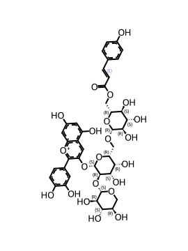 O=C(/C=C/c1ccc(O)cc1)OC[C@H]1O[C@@H](OC[C@H]2O[C@@H](Oc3cc4c(O)cc(O)cc4[o+]c3-c3ccc(O)c(O)c3)[C@H](O[C@@H]3OC[C@@H](O)[C@H](O)[C@H]3O)[C@@H](O)[C@H]2O)[C@H](O)[C@@H](O)[C@@H]1O